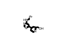 CC(C)CNc1cc(-c2ccnc(CO)c2)ncn1